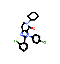 O=C1c2c(nc(-c3ccccc3Cl)n2-c2ccc(Cl)cc2)CCN1C1CCCCC1